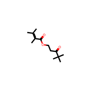 CC(C)=C(C)C(=O)OCCC(=O)C(C)(C)C